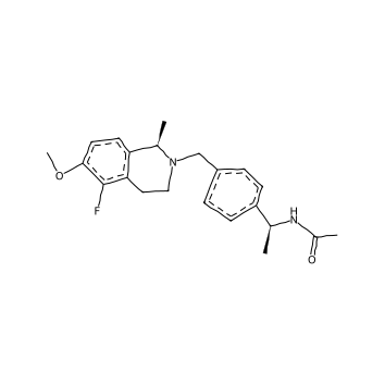 COc1ccc2c(c1F)CCN(Cc1ccc([C@H](C)NC(C)=O)cc1)[C@@H]2C